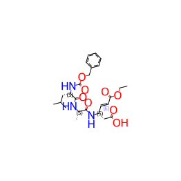 CCOC(=O)/C=C/[C@H](CC(=O)O)NC(=O)[C@H](C)NC(=O)[C@H](CC(C)C)NC(=O)OCc1ccccc1